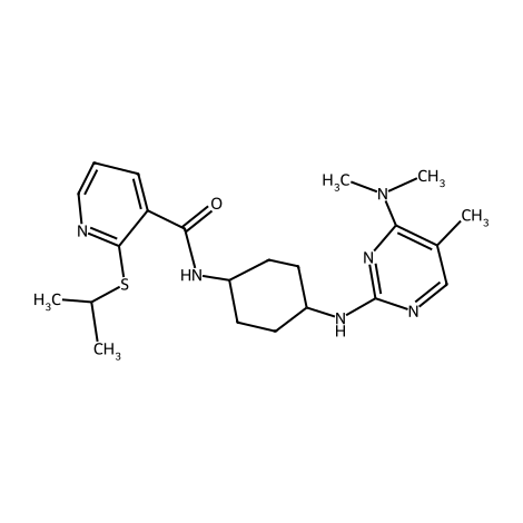 Cc1cnc(NC2CCC(NC(=O)c3cccnc3SC(C)C)CC2)nc1N(C)C